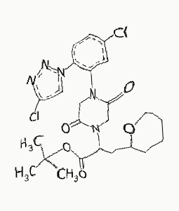 CC(C)(C)OC(=O)C(CC1CCCCO1)N1CC(=O)N(c2cc(Cl)ccc2-n2cc(Cl)nn2)CC1=O